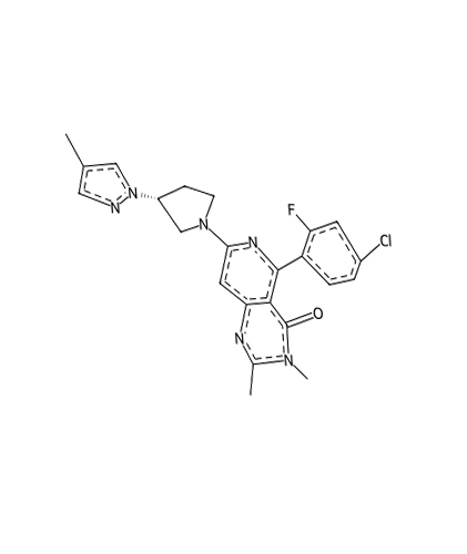 Cc1cnn([C@@H]2CCN(c3cc4nc(C)n(C)c(=O)c4c(-c4ccc(Cl)cc4F)n3)C2)c1